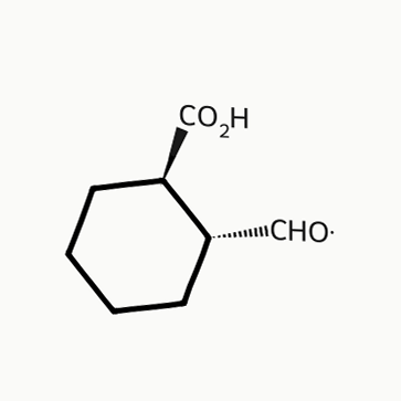 O=[C][C@@H]1CCCC[C@H]1C(=O)O